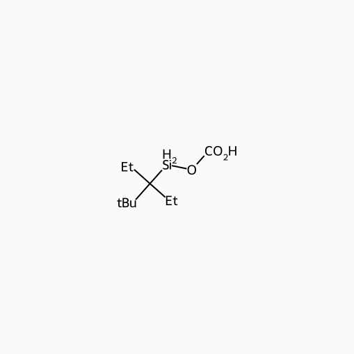 CCC(CC)([SiH2]OC(=O)O)C(C)(C)C